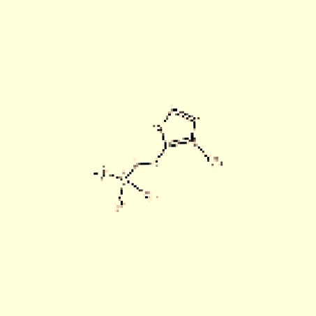 Cc1ccsc1CC[Si](C)(C)C